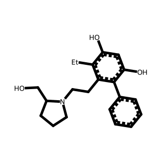 CCc1c(O)cc(O)c(-c2ccccc2)c1CCN1CCCC1CO